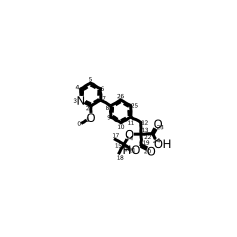 COc1ncccc1-c1ccc(CC(OC(C)(C)C)(C(=O)O)C(=O)O)cc1